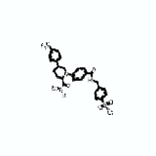 CCN(CC)C(=O)C1CCC(c2ccc(C(F)(F)F)cc2)CN1c1ccc(C(=O)NCc2ccc(S(=O)(=O)CC)cc2)cc1